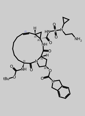 CC(C)(C)OC(=O)N[C@H]1CCCCC/C=C\[C@@H]2C[C@@]2(C(=O)NS(=O)(=O)N(CCN)C2CC2)NC(=O)[C@@H]2C[C@@H](OC(=O)N3Cc4ccccc4C3)CN2C1=O